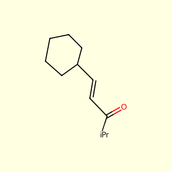 CC(C)C(=O)/C=C/C1CCCCC1